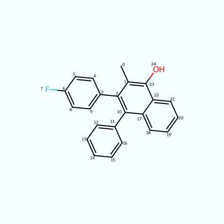 Cc1c(-c2ccc(F)cc2)c(-c2ccccc2)c2ccccc2c1O